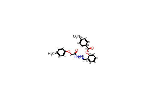 Cc1ccc(OCC(=O)N/N=C/c2ccccc2OC(=O)c2ccc([N+](=O)[O-])cc2)cc1